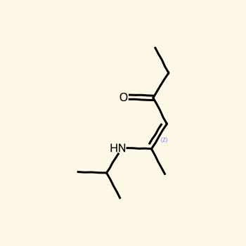 CCC(=O)/C=C(/C)NC(C)C